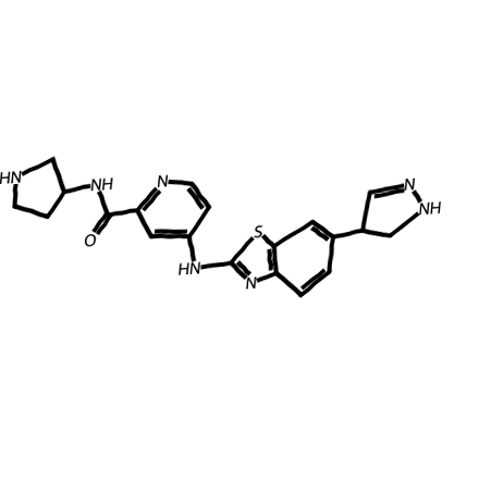 O=C(NC1CCNC1)c1cc(Nc2nc3ccc(C4C=NNC4)cc3s2)ccn1